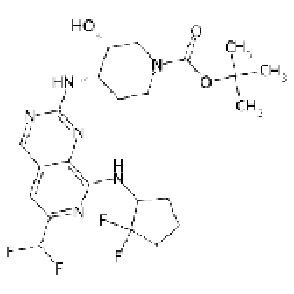 CC(C)(C)OC(=O)N1CC[C@H](Nc2ncc3cc(C(F)F)nc(NC4CCCC4(F)F)c3n2)[C@H](O)C1